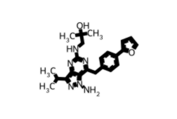 CC(C)c1nn(N)c2c(Cc3ccc(-c4ccco4)cc3)nc(NCC(C)(C)O)nc12